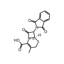 CC1=C(C(=O)O)N2C(=O)C(N3C(=O)c4ccccc4C3=O)[C@H]2SC1